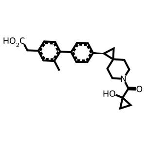 Cc1cc(CC(=O)O)ccc1-c1ccc([C@H]2CC23CCN(C(=O)C2(O)CC2)CC3)cc1